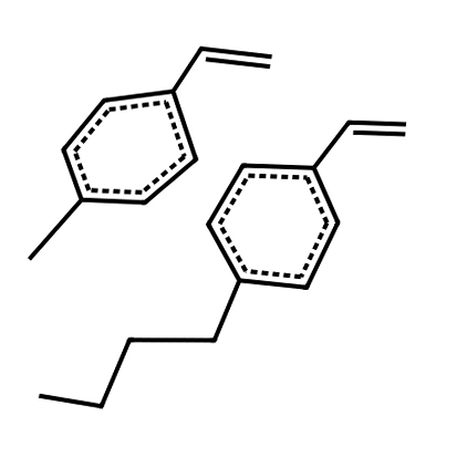 C=Cc1ccc(C)cc1.C=Cc1ccc(CCCC)cc1